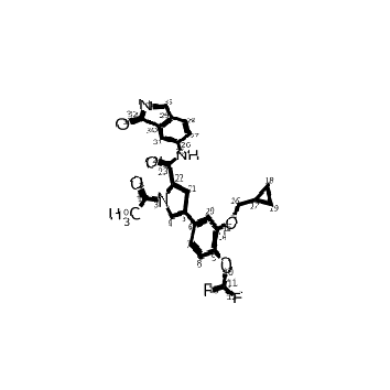 CC(=O)N1CC(c2ccc(OC(F)F)c(OCC3CC3)c2)CC1C(=O)Nc1ccc2c(c1)C(=O)N=C2